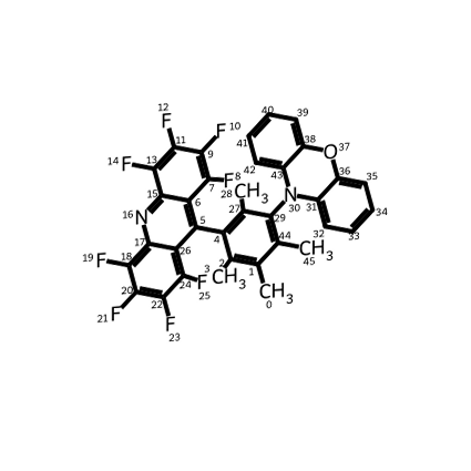 Cc1c(C)c(-c2c3c(F)c(F)c(F)c(F)c3nc3c(F)c(F)c(F)c(F)c23)c(C)c(N2c3ccccc3Oc3ccccc32)c1C